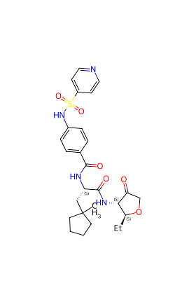 CC[C@@H]1OCC(=O)[C@H]1NC(=O)[C@H](CC1(C)CCCC1)NC(=O)c1ccc(NS(=O)(=O)c2ccncc2)cc1